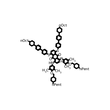 CCCCCCCCC1CCC(c2ccc(-c3ccc(Sc4ccc(Sc5ccc(-c6ccc(C7CCC(CCCCCCCC)CC7)cc6)cc5)c5c4C(=O)c4c(Nc6cc(C)c(OCC7CCC(CCCCC)CC7)c(C)c6)ccc(Nc6cc(C)c(OCC7CCC(CCCCC)CC7)c(C)c6)c4C5=O)cc3)cc2)CC1